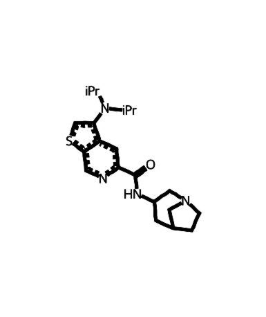 CC(C)N(c1csc2cnc(C(=O)NC3CC4CCN(C4)C3)cc12)C(C)C